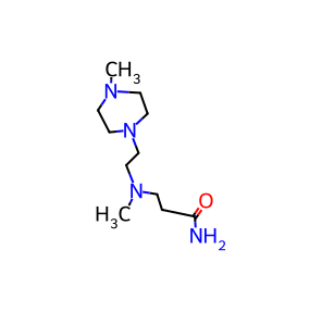 CN(CCC(N)=O)CCN1CCN(C)CC1